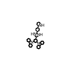 C1=CNC(C2=CCC(C3NC=C(c4cc(-n5c6ccccc6c6ccccc65)cc(-n5c6ccccc6c6ccccc65)c4)CN3)C=C2)C=C1